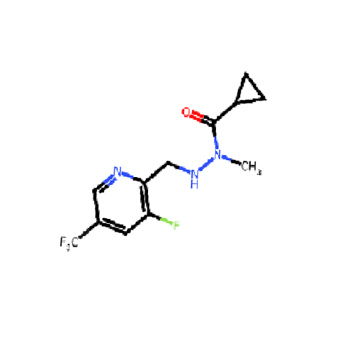 CN(NCc1ncc(C(F)(F)F)cc1F)C(=O)C1CC1